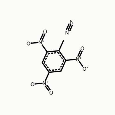 Cc1c([N+](=O)[O-])cc([N+](=O)[O-])cc1[N+](=O)[O-].N#N